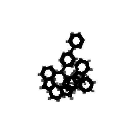 c1ccc(-c2ccc(N(c3cccc4oc5ccccc5c34)c3cccc4sc5ccc6oc7c8ccccc8ccc7c6c5c34)cc2)cc1